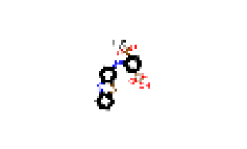 CS(=O)(=O)c1ccc(S(=O)(=O)O)cc1/N=c1/ccc2nc3ccccc3sc-2c1